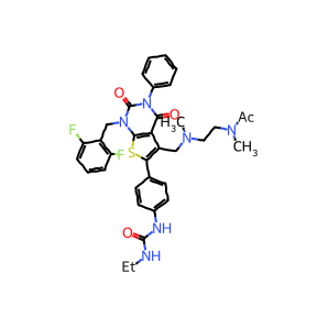 CCNC(=O)Nc1ccc(-c2sc3c(c2CN(C)CCN(C)C(C)=O)c(=O)n(-c2ccccc2)c(=O)n3Cc2c(F)cccc2F)cc1